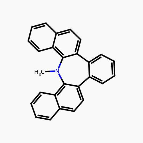 CN1c2c(ccc3ccccc23)-c2ccccc2-c2ccc3ccccc3c21